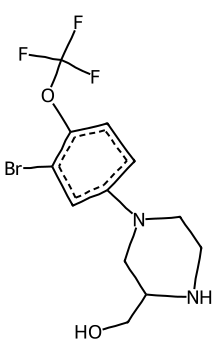 OCC1CN(c2ccc(OC(F)(F)F)c(Br)c2)CCN1